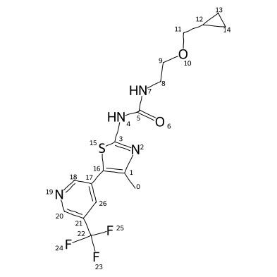 Cc1nc(NC(=O)NCCOCC2CC2)sc1-c1cncc(C(F)(F)F)c1